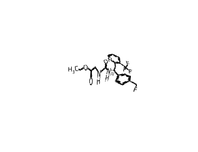 CCOC(=O)CNC(=O)N[C@@H](c1ccc(CF)cc1)c1ncccc1C(F)(F)F